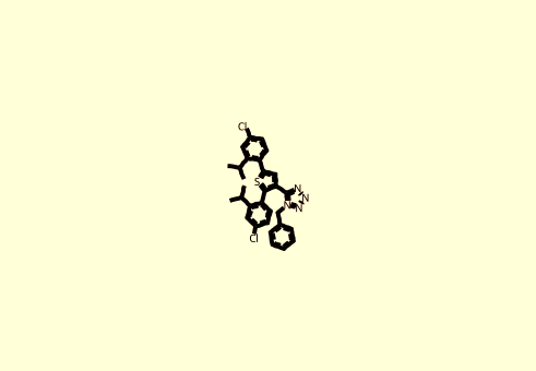 CC(C)c1cc(Cl)ccc1-c1cc(-c2nnnn2Cc2ccccc2)c(-c2ccc(Cl)cc2C(C)C)s1